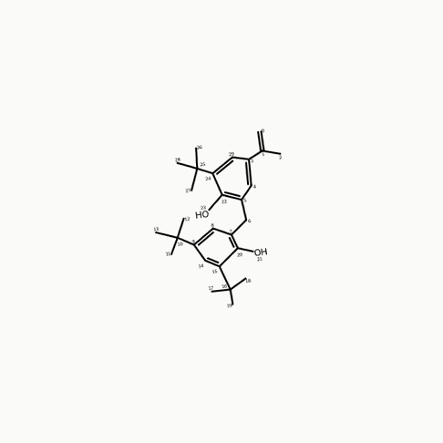 C=C(C)c1cc(Cc2cc(C(C)(C)C)cc(C(C)(C)C)c2O)c(O)c(C(C)(C)C)c1